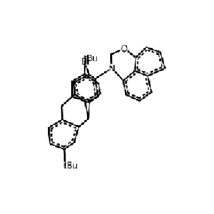 CC(C)(C)c1ccc2c(c1)C1c3ccc(C(C)(C)C)cc3C2c2cc(N3COc4cccc5cccc3c45)c(Br)cc21